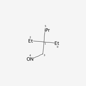 CCC(CC)(CN=O)C(C)C